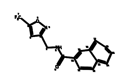 O=C(NCc1cc(C(F)(F)F)on1)c1ccc2ccccc2c1